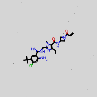 C=CC(=O)N1CC(NC(=O)c2c(CC)nc(CNC(=N)c3cc(C(C)(C)C)c(Cl)cc3N)n2C)C1